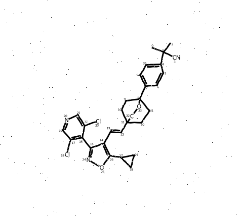 CC(C)(C#N)c1ccc(C23CCC(/C=C/c4c(-c5c(Cl)cncc5Cl)noc4C4CC4)(CC2)CO3)cc1